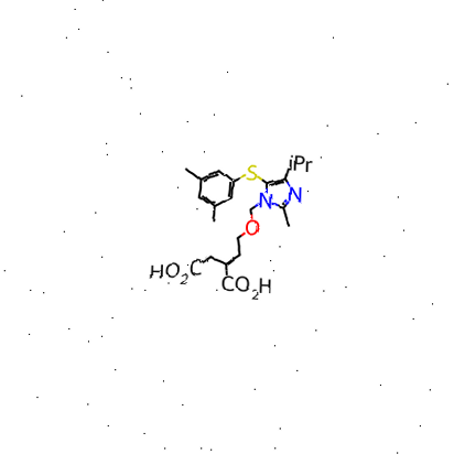 Cc1cc(C)cc(Sc2c(C(C)C)nc(C)n2COCCC(CC(=O)O)C(=O)O)c1